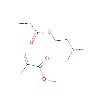 C=C(C)C(=O)OC.C=CC(=O)OCCN(C)C